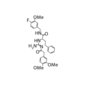 COc1cc(CNC(=O)C(CCc2ccccc2)NC(N)=NC(=O)Cc2ccc(OC)c(OC)c2)ccc1F